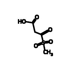 CS(=O)(=O)C(=O)CC(=O)O